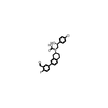 O=Cc1cc(-c2ccc3c(c2)C[C@@H](N(C[C@@H](O)c2ccc(Cl)cc2)C(=O)O)CC3)ccc1F